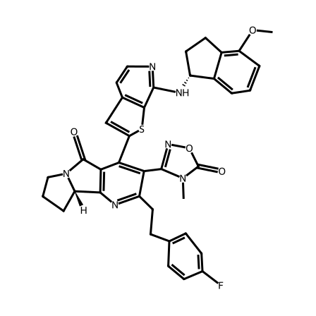 COc1cccc2c1CC[C@H]2Nc1nccc2cc(-c3c4c(nc(CCc5ccc(F)cc5)c3-c3noc(=O)n3C)[C@@H]3CCCN3C4=O)sc12